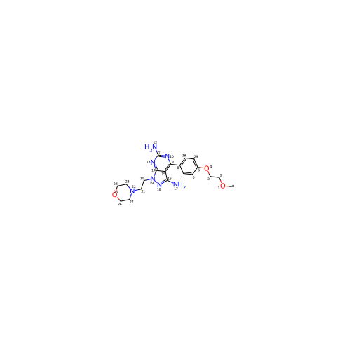 COCCOc1ccc(-c2nc(N)nc3c2c(N)nn3CCN2CCOCC2)cc1